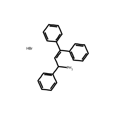 Br.PC(C=C(c1ccccc1)c1ccccc1)c1ccccc1